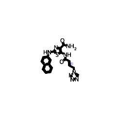 NC(=O)c1nc(Nc2ccc3ccccc3c2)sc1NC(=O)/C=C/Cn1cnnn1